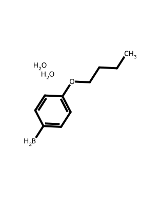 Bc1ccc(OCCCC)cc1.O.O